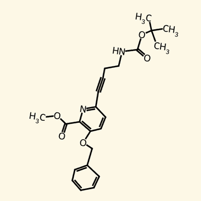 COC(=O)c1nc(C#CCCNC(=O)OC(C)(C)C)ccc1OCc1ccccc1